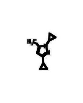 Cc1cc(C2CC2)nn1C1CC1